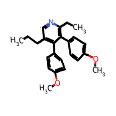 CCCc1[c]nc(CC)c(-c2ccc(OC)cc2)c1-c1ccc(OC)cc1